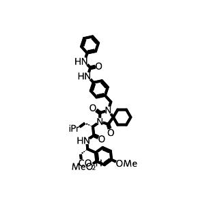 COc1ccc([C@H](CC(=O)O)NC(=O)[C@H](CC(C)C)N2C(=O)N(Cc3ccc(NC(=O)Nc4ccccc4)cc3)C3(CCCCC3)C2=O)c(OC)c1